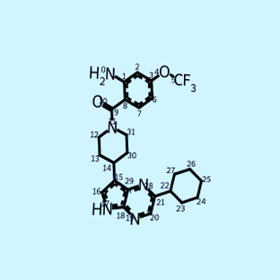 Nc1cc(OC(F)(F)F)ccc1C(=O)N1CCC(c2c[nH]c3ncc(C4CCCCC4)nc23)CC1